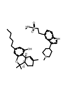 CCCCCc1cc(O)c2c(c1)OC(C)(C)[C@@H]1CCC(C)=C[C@@H]21.CNS(=O)(=O)CCc1ccc2[nH]cc(C3CCN(C)CC3)c2c1